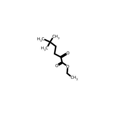 CCOC(=O)C(=O)CCC(C)(C)C